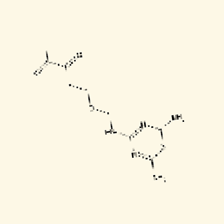 C=C(C)C(=O)CCOCNc1nc(N)nc(N)n1